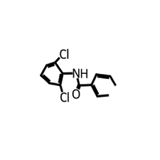 C/C=C\C(=C/C)C(=O)Nc1c(Cl)cccc1Cl